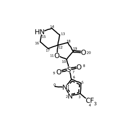 Cn1nc(C(F)(F)F)cc1S(=O)(=O)C1OC2(CCNCC2)CC1=O